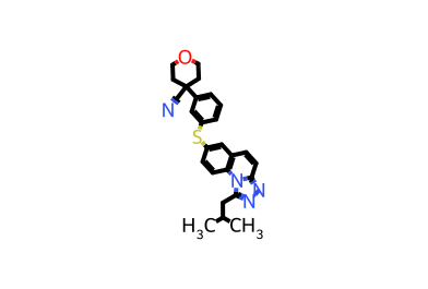 CC(C)Cc1nnc2ccc3cc(Sc4cccc(C5(C#N)CCOCC5)c4)ccc3n12